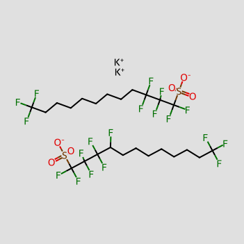 O=S(=O)([O-])C(F)(F)C(F)(F)C(F)(F)C(F)CCCCCCCC(F)(F)F.O=S(=O)([O-])C(F)(F)C(F)(F)C(F)(F)CCCCCCCCC(F)(F)F.[K+].[K+]